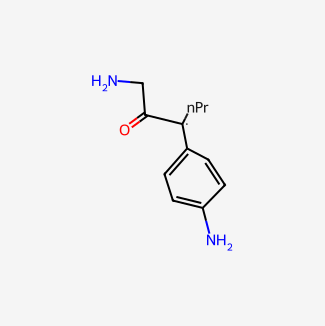 CCC[C](C(=O)CN)c1ccc(N)cc1